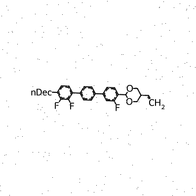 C=CC1COC(c2ccc(-c3ccc(-c4ccc(CCCCCCCCCC)c(F)c4F)cc3)cc2F)OC1